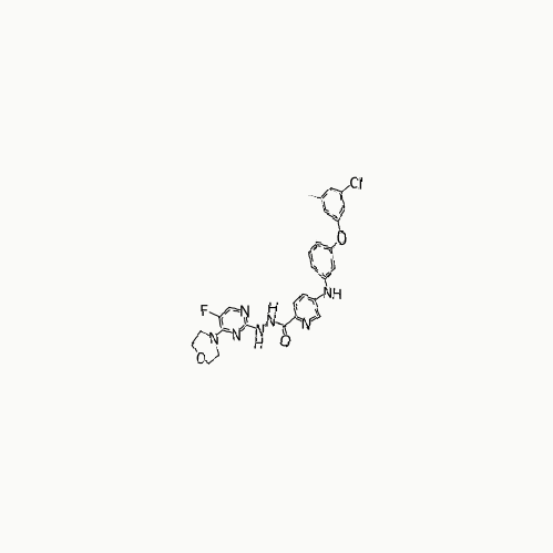 Cc1cc(Cl)cc(Oc2cccc(Nc3ccc(C(=O)NNc4ncc(F)c(N5CCOCC5)n4)nc3)c2)c1